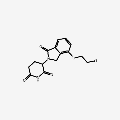 O=C1CCC(N2Cc3c(OCCCl)cccc3C2=O)C(=O)N1